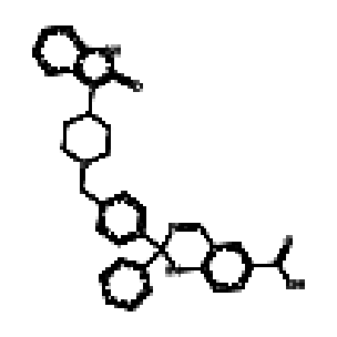 O=C(O)c1ccc2c(c1)C=NC(c1ccccc1)(c1ccc(CN3CCC(n4c(=O)[nH]c5ccccc54)CC3)cc1)N2